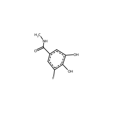 CNC(=O)c1cc(O)c(O)c(F)c1